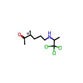 CC(=O)[C@@H](C)CCCNC(C)C(Cl)(Cl)Cl